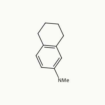 CNc1ccc2c(c1)CCCC2